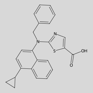 O=C(O)c1cnc(N(Cc2ccccc2)c2ccc(C3CC3)c3ccccc23)s1